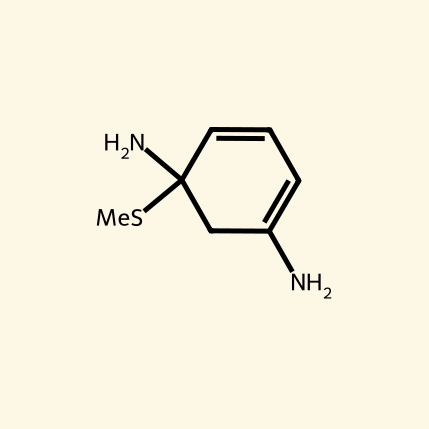 CSC1(N)C=CC=C(N)C1